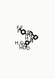 COc1ccc(/N=N/c2ccccc2-c2ccnc(Nc3ccc(C(F)(F)F)cc3)n2)cc1C(=O)O